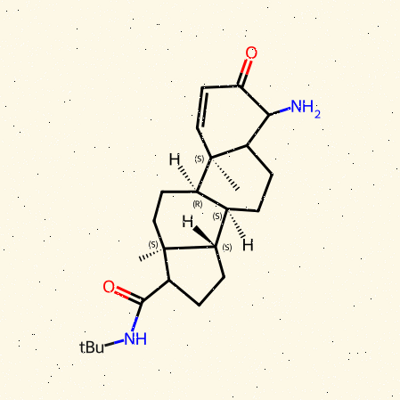 CC(C)(C)NC(=O)C1CC[C@H]2[C@@H]3CCC4C(N)C(=O)C=C[C@]4(C)[C@@H]3CC[C@]12C